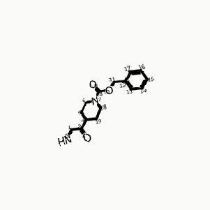 N=CC(=O)C1CCN(C(=O)OCc2ccccc2)CC1